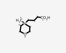 C[N+]1(CCCC(=O)O)CCOCC1